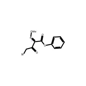 CO/N=C(/C(=O)CBr)C(=O)Oc1ccccc1